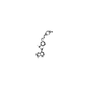 C[C@H]1CN(c2ccnc3c2cnn3C)Cc2ccc(OCCN3CCNCC3)cc21